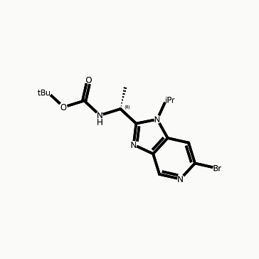 CC(C)n1c([C@@H](C)NC(=O)OC(C)(C)C)nc2cnc(Br)cc21